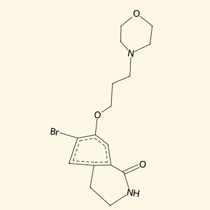 O=C1NCCc2cc(Br)c(OCCCN3CCOCC3)cc21